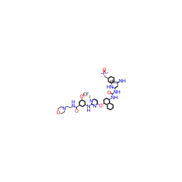 CC(C)(C)C(=N)/C=C(/NC(=O)Nc1ccc(Oc2ccnc(Nc3cc(OC(F)(F)F)cc(C(=O)NCCN4CCOCC4)c3)n2)c2ccccc12)Nc1cccc(CP(C)(C)=O)c1